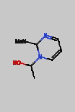 CNC1N=CC=CN1C(C)O